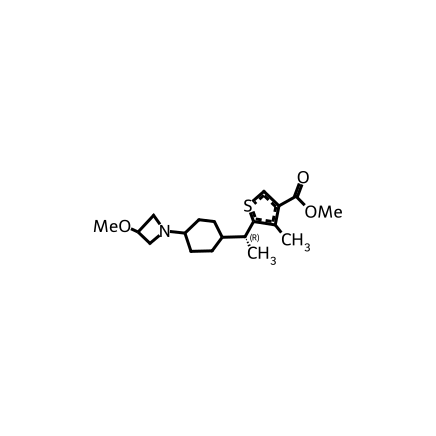 COC(=O)c1csc([C@H](C)C2CCC(N3CC(OC)C3)CC2)c1C